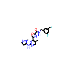 Cc1cnc(Nc2ccnn2C)nc1-c1coc(C(=O)NCc2cc(F)cc(CF)c2)n1